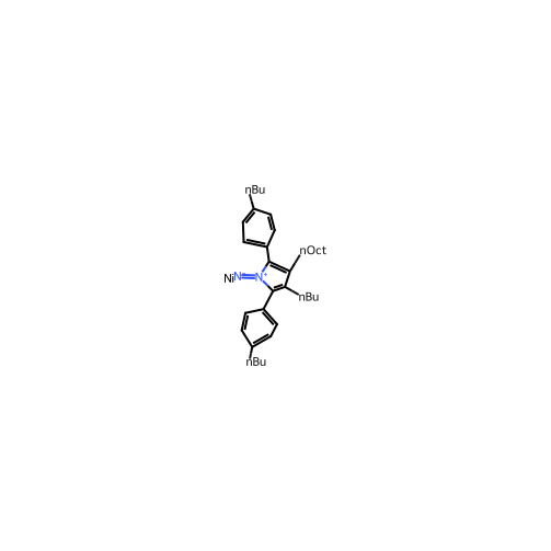 CCCCCCCCC1=C(c2ccc(CCCC)cc2)[N+](=[N-])C(c2ccc(CCCC)cc2)=C1CCCC.[Ni]